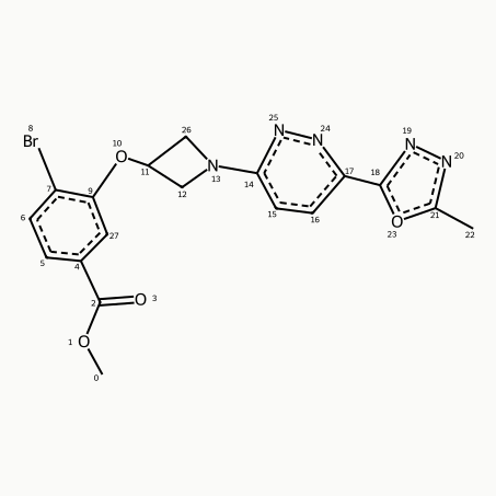 COC(=O)c1ccc(Br)c(OC2CN(c3ccc(-c4nnc(C)o4)nn3)C2)c1